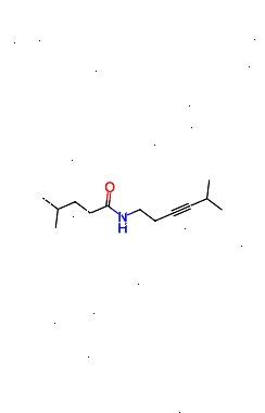 CC(C)C#CCCNC(=O)CCC(C)C